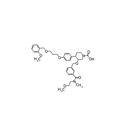 COCCN(C)C(=O)c1cccc(COC2CN(C(=O)O)CCC2c2ccc(OCCCOCc3ccccc3OC)cc2)c1